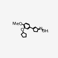 COc1ccc(C2=CC(=NO)CC2)cc1OC1CCCC1